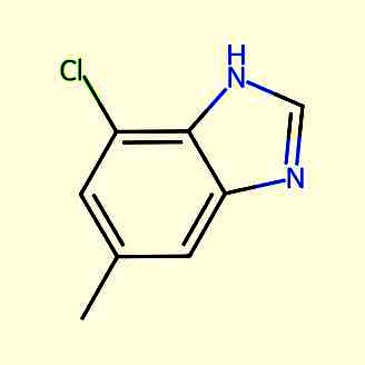 Cc1cc(Cl)c2[nH]cnc2c1